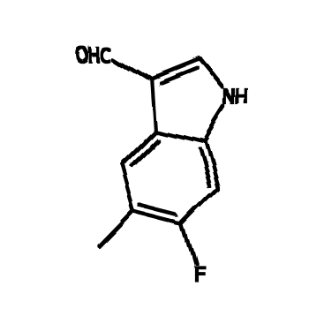 Cc1cc2c(C=O)c[nH]c2cc1F